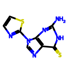 Nc1nc2c(ncn2-c2nccs2)c(=S)[nH]1